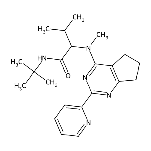 CC(C)C(C(=O)NC(C)(C)C)N(C)c1nc(-c2ccccn2)nc2c1CCC2